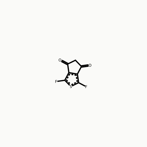 O=C1CC(=O)c2c(F)sc(F)c21